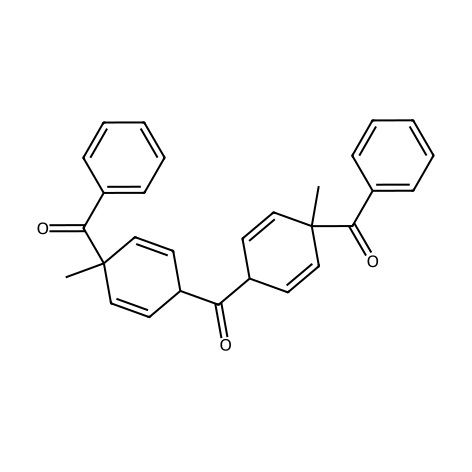 CC1(C(=O)c2ccccc2)C=CC(C(=O)C2C=CC(C)(C(=O)c3ccccc3)C=C2)C=C1